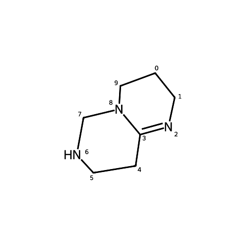 C1CN=C2CCNCN2C1